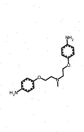 CN(CCOc1ccc(N)cc1)CCOc1ccc(N)cc1